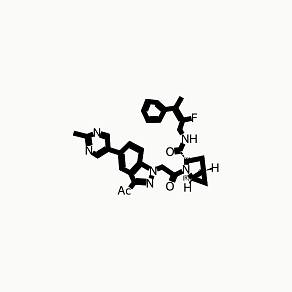 CC(=O)c1nn(CC(=O)N2[C@@H]3C[C@@H]3C[C@H]2C(=O)NCC(F)=C(C)c2ccccc2)c2ccc(-c3cnc(C)nc3)cc12